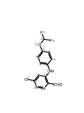 O=Cc1nnc(Cl)cc1Nc1ccc(OC(F)F)cc1